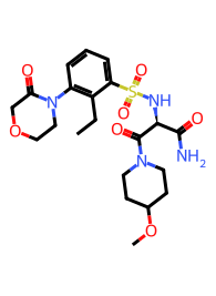 CCc1c(N2CCOCC2=O)cccc1S(=O)(=O)N[C@@H](C(N)=O)C(=O)N1CCC(OC)CC1